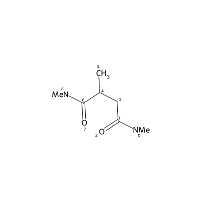 CNC(=O)CC(C)C(=O)NC